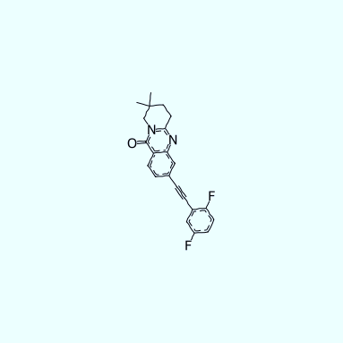 CC1(C)CCc2nc3cc(C#Cc4cc(F)ccc4F)ccc3c(=O)n2C1